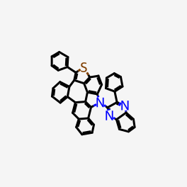 c1ccc(-c2nc3ccccc3nc2-n2c3ccc4sc(-c5ccccc5)c5c4c3c3c(cc4ccccc4c32)-c2ccccc2-5)cc1